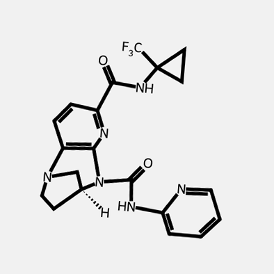 O=C(NC1(C(F)(F)F)CC1)c1ccc2c(n1)N(C(=O)Nc1ccccn1)[C@H]1CCN2C1